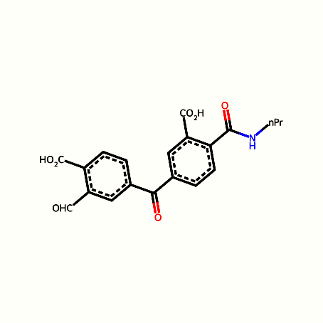 CCCNC(=O)c1ccc(C(=O)c2ccc(C(=O)O)c(C=O)c2)cc1C(=O)O